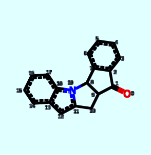 O=C1c2ccccc2C2C1Cc1cc3ccccc3n12